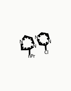 CCCc1cnccn1.Clc1cnccn1